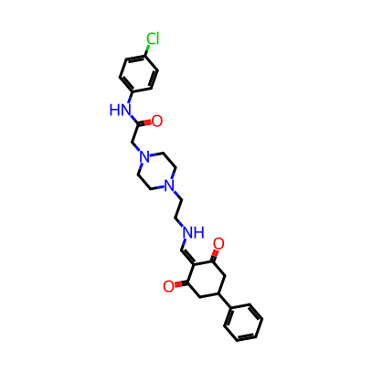 O=C(CN1CCN(CCNC=C2C(=O)CC(c3ccccc3)CC2=O)CC1)Nc1ccc(Cl)cc1